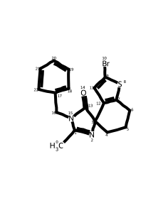 CC1=NC2(CCCc3sc(Br)cc32)C(=O)N1Cc1ccccc1